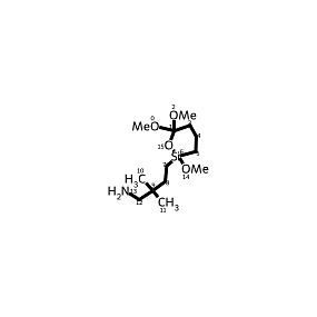 COC1(OC)CCC[Si](CCC(C)(C)CN)(OC)O1